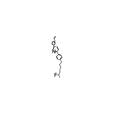 C=CCOc1ccc(-c2ccc(CCCCCC(C)F)cc2)nc1